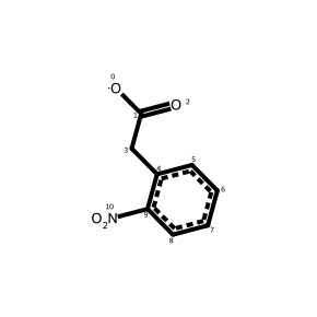 [O]C(=O)Cc1ccccc1[N+](=O)[O-]